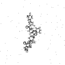 Cc1ccc(-c2cc(C)c(C(=O)N3CC[C@@H](C(=O)N4CCC(O)(Cn5cnc6c(ccn6C)c5=O)CC4)[C@H](c4ccccc4)C3)s2)cn1